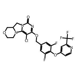 O=c1nc(OCc2cc(F)c(Oc3ccnc(C(F)(F)F)c3)c(F)c2)c(Cl)c2n1CC1COCCN21